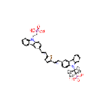 CCC(CC)(n1c2ccccc2c2cc(/C=C/c3ccc(/C=C/c4ccc5c(c4)c4ccccc4n5CCP(=O)(O)O)s3)ccc21)C(CC)(CC)P(=O)(O)O